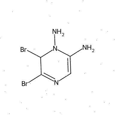 NC1=CN=C(Br)C(Br)N1N